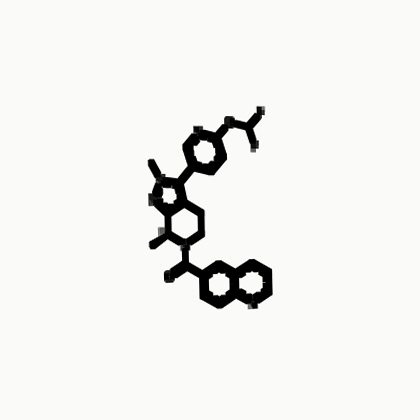 C[C@H]1c2nn(C)c(-c3ccc(OC(F)F)nc3)c2CCN1C(=O)c1ccc2ncccc2c1